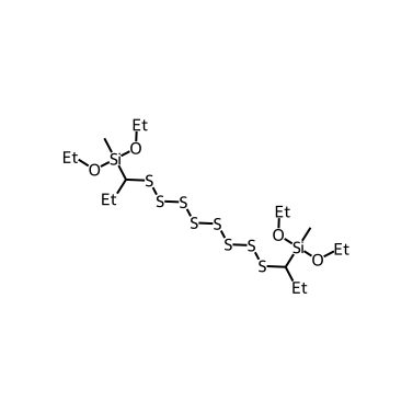 CCO[Si](C)(OCC)C(CC)SSSSSSSSC(CC)[Si](C)(OCC)OCC